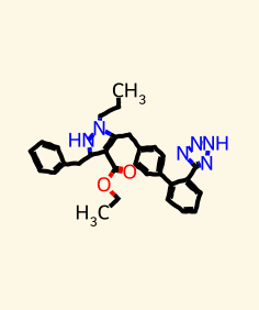 CCCN1NC(Cc2ccccc2)C(C(=O)OCC)=C1Cc1ccc(-c2ccccc2-c2nn[nH]n2)cc1